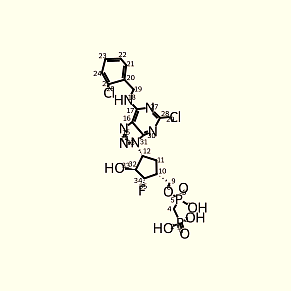 O=P(O)(O)CP(=O)(O)OC[C@H]1C[C@@H](n2nnc3c(NCc4ccccc4Cl)nc(Cl)nc32)[C@H](O)[C@H]1F